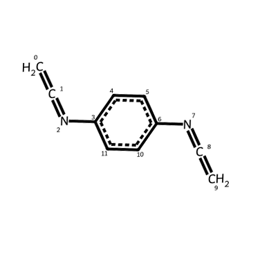 C=C=Nc1ccc(N=C=C)cc1